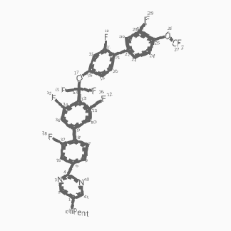 CCCCCc1cnc(-c2ccc(-c3cc(F)c(C(F)(F)Oc4ccc(-c5ccc(OC(F)(F)F)c(F)c5)c(F)c4)c(F)c3)c(F)c2)nc1